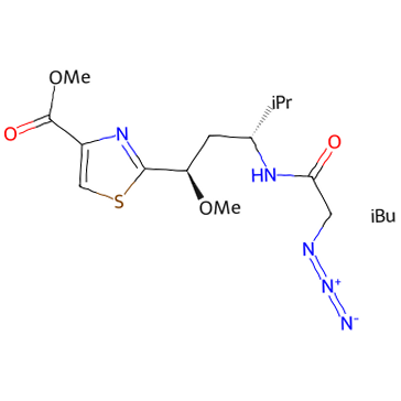 CC[C@H](C)C(N=[N+]=[N-])C(=O)N[C@H](C[C@@H](OC)c1nc(C(=O)OC)cs1)C(C)C